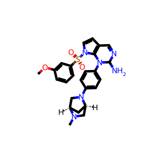 COc1cccc(S(=O)(=O)n2ccc3c2N(c2ccc(N4C[C@H]5C[C@@H]4CN5C)cc2)C(N)N=C3)c1